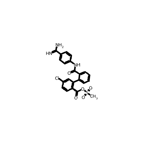 CS(=O)(=O)OC(=O)c1ccc(Cl)cc1-c1ccccc1C(=O)Nc1ccc(C(=N)N)cc1